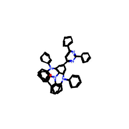 c1ccc(-c2cc(-c3cc(N(c4ccccc4)c4ccccc4)c(-n4c5ccccc5c5ccccc54)c(N(c4ccccc4)c4ccccc4)c3)nc(-c3ccccc3)n2)cc1